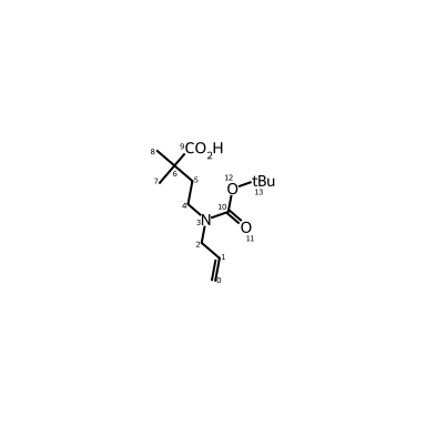 C=CCN(CCC(C)(C)C(=O)O)C(=O)OC(C)(C)C